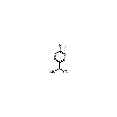 CCCCC(C#N)c1ccc(N)cc1